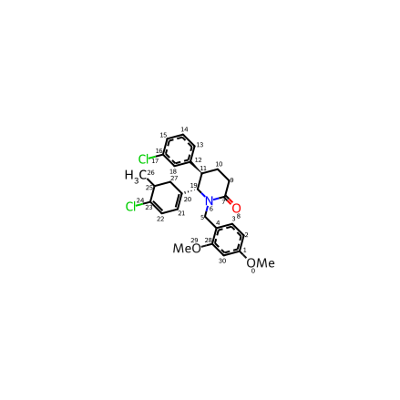 COc1ccc(CN2C(=O)CC[C@H](c3cccc(Cl)c3)[C@H]2C2=CC=C(Cl)C(C)C2)c(OC)c1